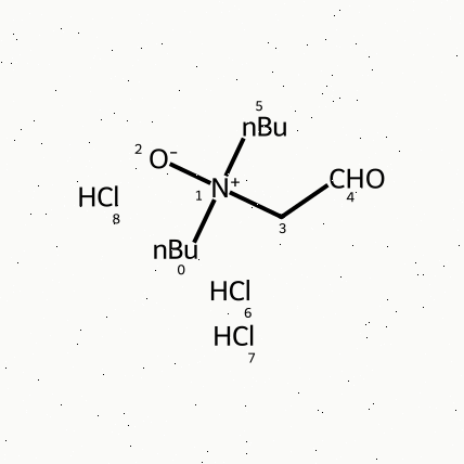 CCCC[N+]([O-])(CC=O)CCCC.Cl.Cl.Cl